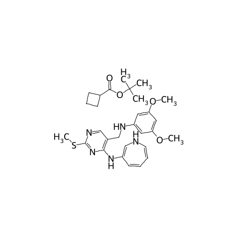 CC(C)(C)OC(=O)C1CCC1.COc1cc(NCc2cnc(SC)nc2NC2=CNC=CC=C2)cc(OC)c1